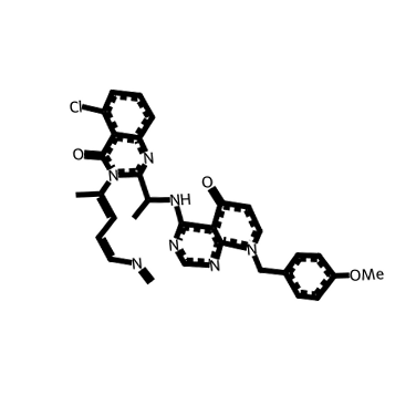 C=N/C=C\C=C(/C)n1c(C(C)Nc2ncnc3c2c(=O)ccn3Cc2ccc(OC)cc2)nc2cccc(Cl)c2c1=O